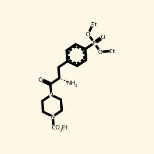 CCOC(=O)N1CCN(C(=O)[C@@H](N)Cc2ccc(P(=O)(OCC)OCC)cc2)CC1